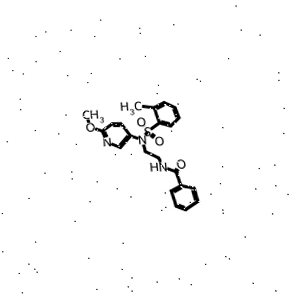 COc1ccc(N(CCNC(=O)c2ccccc2)S(=O)(=O)c2ccccc2C)cn1